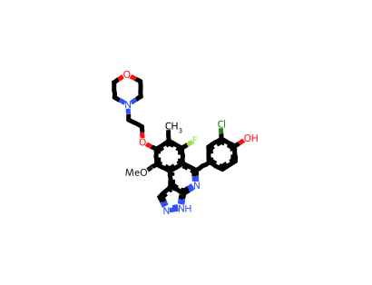 COc1c(OCCN2CCOCC2)c(C)c(F)c2c(-c3ccc(O)c(Cl)c3)nc3[nH]ncc3c12